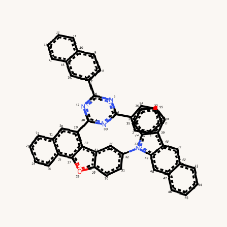 c1ccc(-c2nc(-c3ccc4ccccc4c3)nc(-c3cc4ccccc4c4oc5ccc(-n6c7ccccc7c7cc8ccccc8cc76)cc5c34)n2)cc1